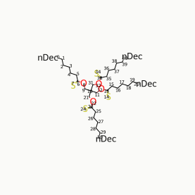 CCCCCCCCCCCCCCCC(=S)OCC(COC(=S)CCCCCCCCCCCCCCC)(COC(=S)CCCCCCCCCCCCCCC)COC(=S)CCCCCCCCCCCCCCC